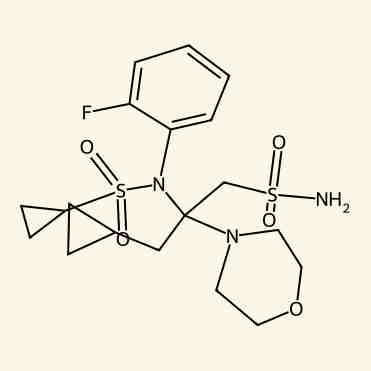 NS(=O)(=O)CC(CC1CC1)(N1CCOCC1)N(c1ccccc1F)S(=O)(=O)C1CC1